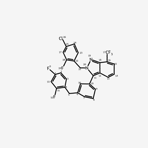 Fc1ccc(Cc2cccc(-c3c4cccc(C(F)(F)F)c4nn3Cc3ccc(Cl)cc3F)c2)c(F)c1